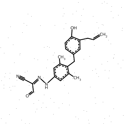 C=CCc1cc(Cc2c(C)cc(NN=C([C]=O)C#N)cc2C)ccc1O